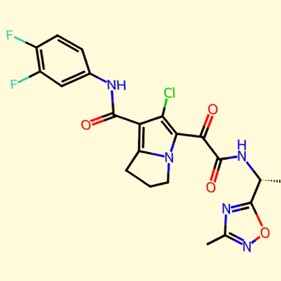 Cc1noc([C@@H](C)NC(=O)C(=O)c2c(Cl)c(C(=O)Nc3ccc(F)c(F)c3)c3n2CCC3)n1